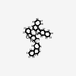 Cc1c(C2C=Cc3ccc4ccccc4c3C2)nc2oc3ccccc3c2c1-n1c2cc3ccccc3cc2c2c3c(ccc21)C=CCC3